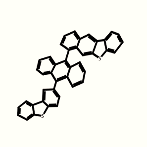 c1cc(-c2c3ccccc3c(-c3ccc4sc5ccccc5c4c3)c3ccccc23)c2cc3sc4ccccc4c3cc2c1